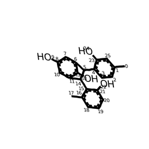 Cc1ccc(C2c3cc(O)cc(c3O)C2c2c(C)cccc2O)c(O)c1